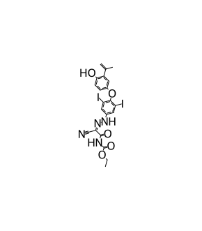 C=C(C)c1cc(Oc2c(I)cc(NN=C(C#N)C(=O)NC(=O)OCC)cc2I)ccc1O